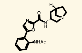 CC(=O)Nc1ccccc1-c1cnc(C(=O)N[C@@H]2C[C@@H]3CCN(C3)C2)o1